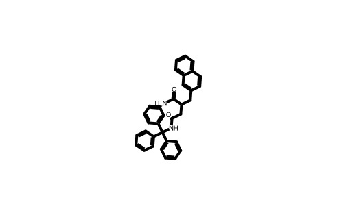 NC(=O)C(CC(=O)NC(c1ccccc1)(c1ccccc1)c1ccccc1)Cc1ccc2ccccc2c1